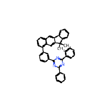 CC1(C)c2ccccc2-c2cc3cccc(-c4cccc(-c5nc(-c6ccccc6)nc(-c6ccccc6)n5)c4)c3cc21